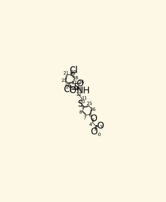 COC(=O)COc1ccc(SCCNS(=O)(=O)c2cc(Cl)ccc2Cl)cc1